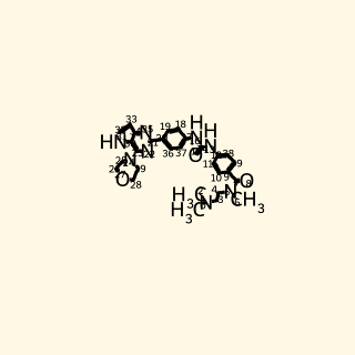 CN(C)CCN(C)C(=O)c1ccc(NC(=O)Nc2ccc(-c3nc(N4CCOCC4)c4[nH]ccc4n3)cc2)cc1